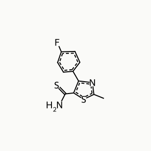 Cc1nc(-c2ccc(F)cc2)c(C(N)=S)s1